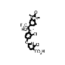 C[C@H](c1ccc(Oc2ccc(C(=O)O)c(Cl)n2)cc1Cl)[C@@](O)(c1ccc2c(c1)n(C)c(=O)n2C)C(F)(F)F